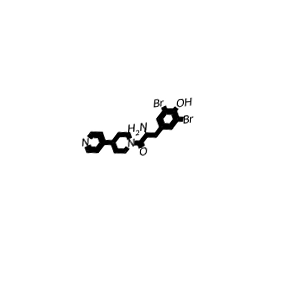 N[C@H](Cc1cc(Br)c(O)c(Br)c1)C(=O)N1CCC(c2ccncc2)CC1